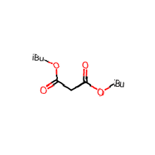 CCC(C)OC(=O)CC(=O)OC(C)CC